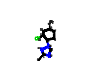 Cc1ncn(-c2ccc(C(C)C)cc2Cl)n1